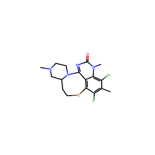 Cc1c(F)c2c3c(nc(=O)n(C)c3c1Cl)N1CCN(C)CC1CCS2